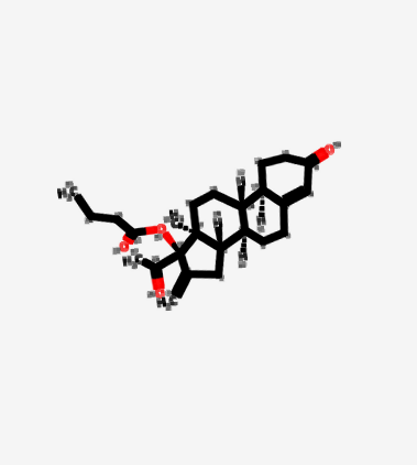 C=C1C[C@H]2[C@@H]3CCC4=CC(=O)CC[C@@H]4[C@H]3CC[C@]2(C)[C@@]1(OC(=O)CCC)C(C)=O